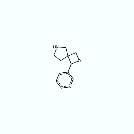 [c]1ncccc1C1OCC12CCNC2